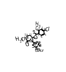 Cc1cc(Cl)ccc1C(=S)OC1CCN(C)C(=O)N1c1nnc(C(C)(C)C)s1